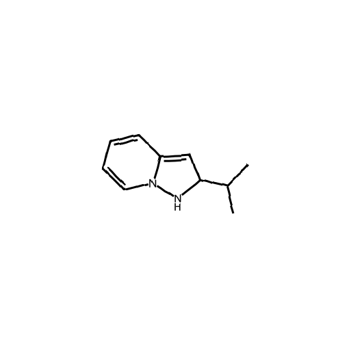 CC(C)C1C=C2C=CC=CN2N1